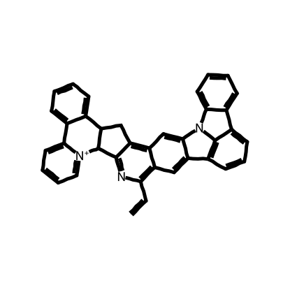 C=Cc1nc2c(c3cc4c(cc13)c1cccc3c5ccccc5n4c31)CC1c3ccccc3-c3cccc[n+]3C21